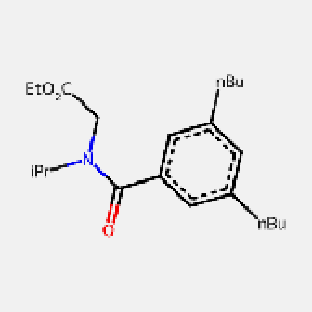 CCCCc1cc(CCCC)cc(C(=O)N(CC(=O)OCC)C(C)C)c1